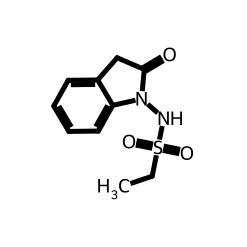 CCS(=O)(=O)NN1C(=O)Cc2ccccc21